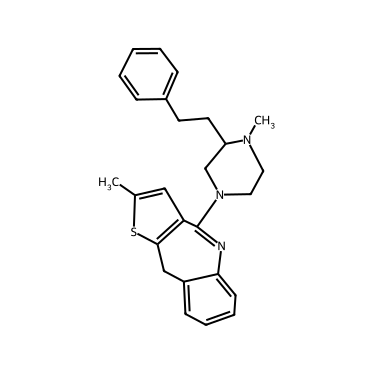 Cc1cc2c(s1)Cc1ccccc1N=C2N1CCN(C)C(CCc2ccccc2)C1